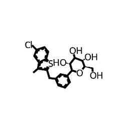 Cc1c(Cc2cccc(C3O[C@H](CO)[C@@H](O)C(O)[C@H]3O)c2)sc2ccc(Cl)cc12